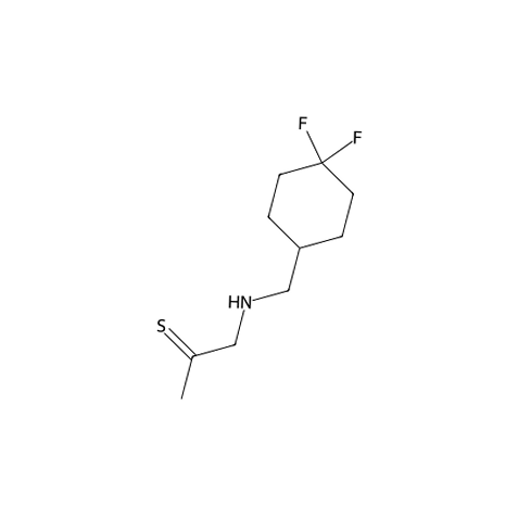 CC(=S)CNCC1CCC(F)(F)CC1